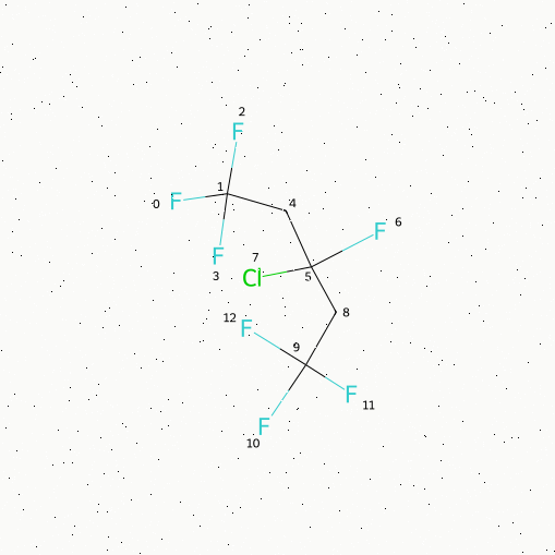 FC(F)(F)CC(F)(Cl)CC(F)(F)F